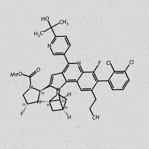 COC(=O)N1C[C@@H](F)C[C@@H]1c1cc2c(-c3ccc(C(C)(C)O)nc3)nc3c(F)c(-c4cccc(Cl)c4Cl)c(CCC#N)cc3c2n1[C@H]1[C@H]2CN[C@@H]1C2